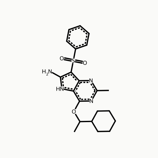 Cc1nc(OC(C)C2CCCCC2)c2[nH]c(N)c(S(=O)(=O)c3ccccc3)c2n1